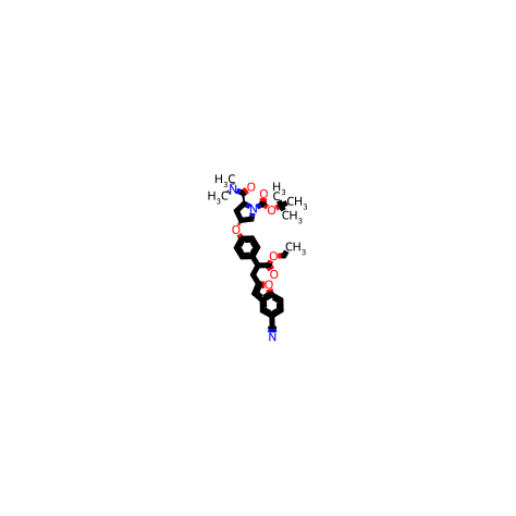 CCOC(=O)C(Cc1cc2cc(C#N)ccc2o1)c1ccc(O[C@H]2C[C@@H](C(=O)N(C)C)N(C(=O)OC(C)(C)C)C2)cc1